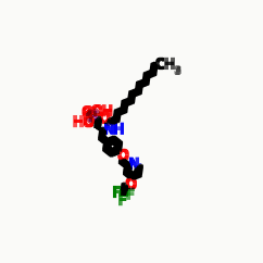 CCCCCCCCCCCCCC(=O)N[C@H](CCP(=O)(O)O)Cc1ccc(OCc2cc(OCC(F)(F)F)ccn2)cc1